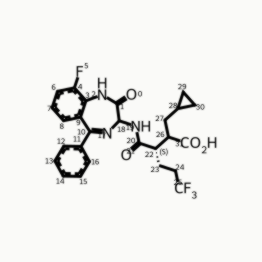 O=C1Nc2c(F)cccc2C(c2ccccc2)=NC1NC(=O)[C@@H](CCC(F)(F)F)C(CC1CC1)C(=O)O